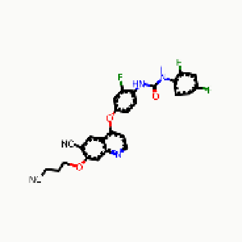 N#CCCCOc1cc2nccc(Oc3ccc(NC(=O)Nc4ccc(F)cc4F)c(F)c3)c2cc1C#N